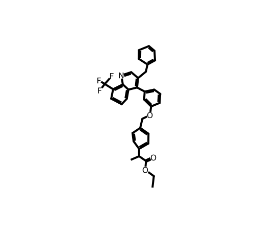 CCOC(=O)C(C)c1ccc(COc2cccc(-c3c(Cc4ccccc4)cnc4c(C(F)(F)F)cccc34)c2)cc1